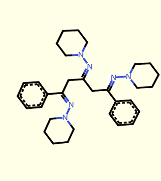 c1ccc(C(CC(CC(=NN2CCCCC2)c2ccccc2)=NN2CCCCC2)=NN2CCCCC2)cc1